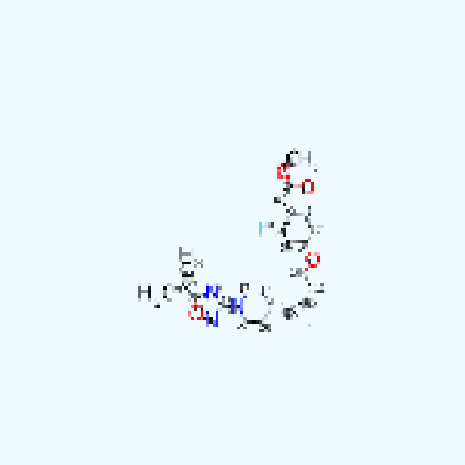 COC(=O)Cc1ccc(OCC[C@@H]2C[C@@H]2C2CCN(c3noc(C(C)C)n3)CC2)cc1F